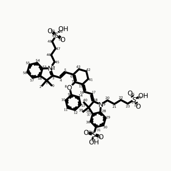 CC1(C)C(/C=C/C2=C(Oc3ccccc3)C(=C/C=C3/N(CCCCS(=O)(=O)O)c4ccc(S(=O)(=O)O)cc4C3(C)C)/CCC2)=[N+](CCCCS(=O)(=O)O)c2ccccc21